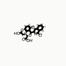 O=C(O)CN(CC(=O)O)c1ccccc1C(=O)c1nc(Cl)c2ccccc2c1O